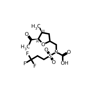 CC(=O)[C@@H]1OC(CN(C(=O)O)S(=O)(=O)CCC(F)(F)F)C[C@@H]1C